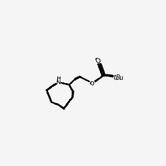 CC(C)(C)C(=O)OCC1CCCCN1